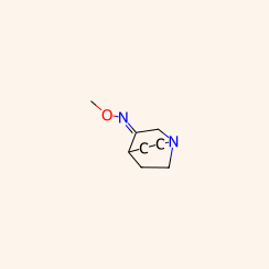 CON=C1CN2CCC1CC2